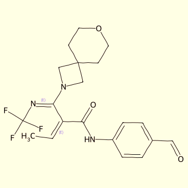 C/C=C(C(=O)Nc1ccc(C=O)cc1)\C(=N/C(F)(F)F)N1CC2(CCOCC2)C1